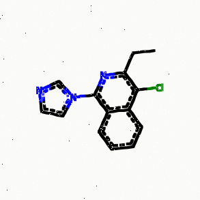 CCc1nc(-n2ccnc2)c2ccccc2c1Cl